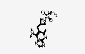 Cc1nc2ncnn2c(N(C)C)c1CC1CN(S(N)(=O)=O)C1